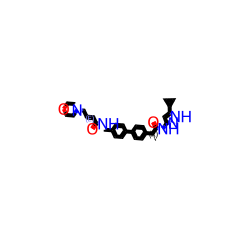 C[C@@H](C(=O)Nc1cc(C2CC2)[nH]n1)c1ccc(-c2ccc(CNC(=O)/C=C/CN3CCOCC3)cc2)cc1